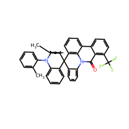 Cc1ccccc1N1c2ccccc2C2(c3ccccc3-n3c(=O)c4c(C(F)(F)F)cccc4c4cccc2c43)c2cccc(C)c21